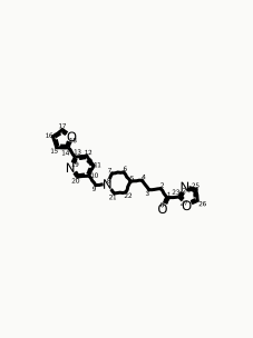 O=C(CCCC1CCN(Cc2ccc(-c3ccco3)nc2)CC1)c1ncco1